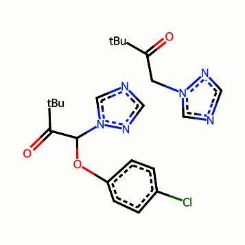 CC(C)(C)C(=O)C(Oc1ccc(Cl)cc1)n1cncn1.CC(C)(C)C(=O)Cn1cncn1